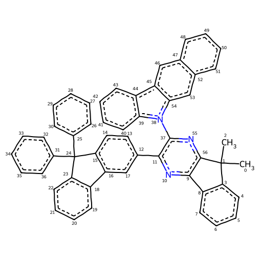 CC1(C)c2ccccc2-c2nc(-c3ccc4c(c3)-c3ccccc3C4(c3ccccc3)c3ccccc3)c(-n3c4ccccc4c4cc5ccccc5cc43)nc21